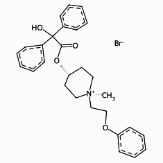 C[N@+]1(CCOc2ccccc2)CC[C@H](OC(=O)C(O)(c2ccccc2)c2ccccc2)CC1.[Br-]